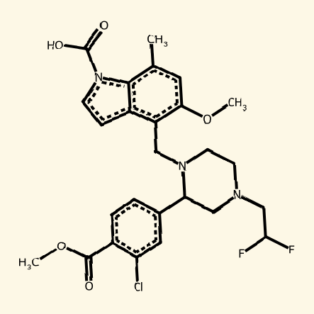 COC(=O)c1ccc(C2CN(CC(F)F)CCN2Cc2c(OC)cc(C)c3c2ccn3C(=O)O)cc1Cl